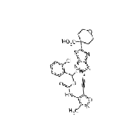 Cc1noc(C#Cc2nc3sc(C4(C(=O)O)CCOCC4)nc3s2)c1NC(=O)OC(C)c1ccccc1Cl